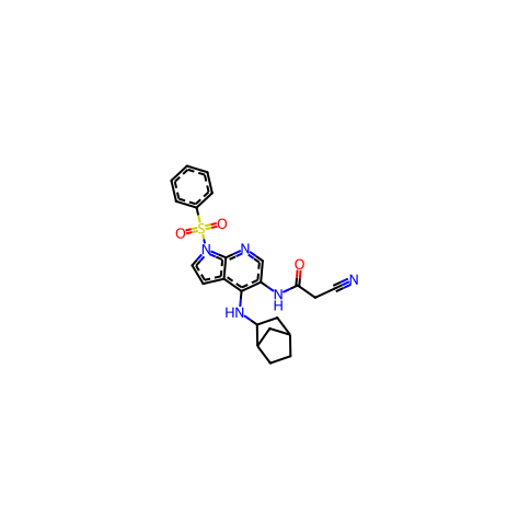 N#CCC(=O)Nc1cnc2c(ccn2S(=O)(=O)c2ccccc2)c1NC1CC2CCC1C2